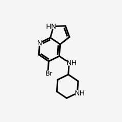 Brc1cnc2[nH]ccc2c1NC1CCCNC1